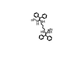 CCCNC(BCCCCBC(NCCC)=C(c1ccccc1)c1ccccc1)=C(c1ccccc1)c1ccccc1